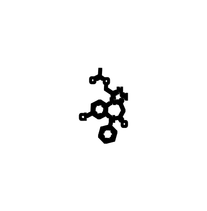 CC(=O)OCc1nnc2n1-c1ccc(Cl)cc1N(c1ccccc1)C(=O)C2